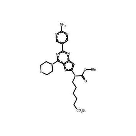 CCOC(=O)CCCCCN(C(=O)OC(C)(C)C)c1cc2nc(-c3cnc(N)nc3)nc(N3CCOCC3)c2s1